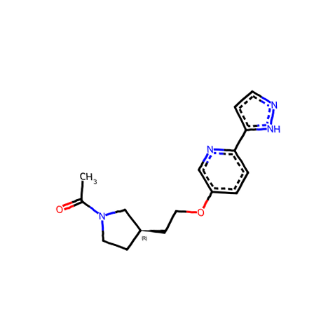 CC(=O)N1CC[C@H](CCOc2ccc(-c3ccn[nH]3)nc2)C1